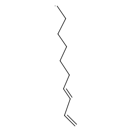 [CH2]CCCCCC=CC=C